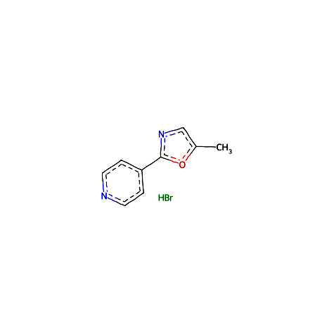 Br.Cc1cnc(-c2ccncc2)o1